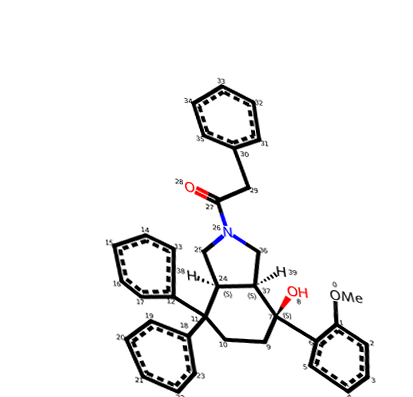 COc1ccccc1[C@]1(O)CCC(c2ccccc2)(c2ccccc2)[C@H]2CN(C(=O)Cc3ccccc3)C[C@H]21